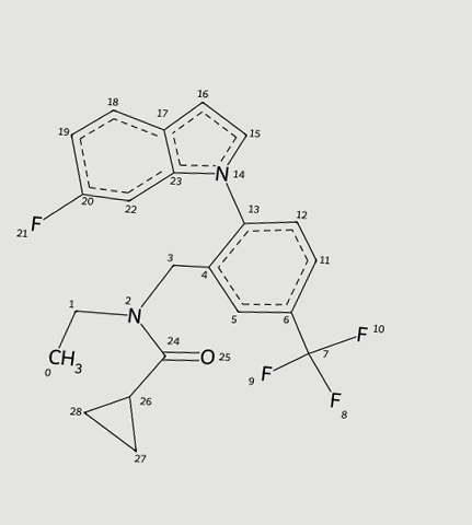 CCN(Cc1cc(C(F)(F)F)ccc1-n1ccc2ccc(F)cc21)C(=O)C1CC1